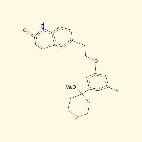 COC1(c2cc(F)cc(OCCc3ccc4[nH]c(=O)ccc4c3)c2)CCOCC1